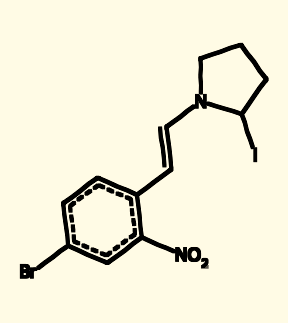 O=[N+]([O-])c1cc(Br)ccc1C=CN1CCCC1I